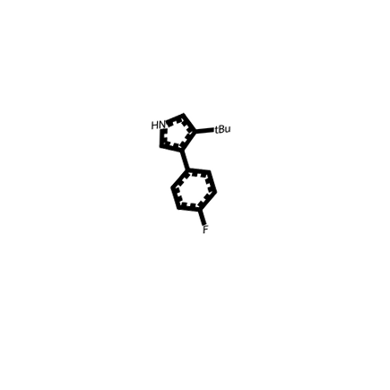 CC(C)(C)c1c[nH]cc1-c1ccc(F)cc1